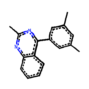 Cc1cc(C)cc(-c2nc(C)nc3ccccc23)c1